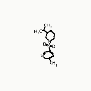 CC1=CC=C(S(=O)(=O)N2CCCC(C(C)C)C2)C=NC1